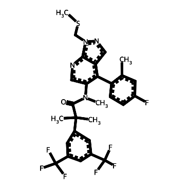 CSCn1ncc2c(-c3ccc(F)cc3C)c(N(C)C(=O)C(C)(C)c3cc(C(F)(F)F)cc(C(F)(F)F)c3)cnc21